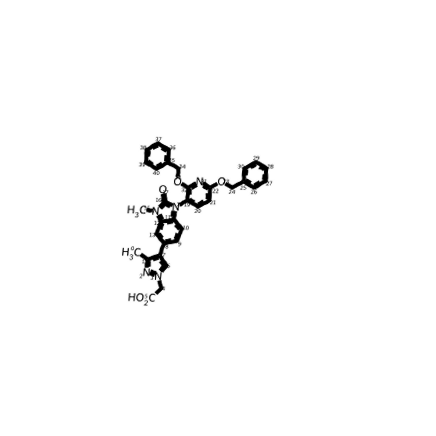 Cc1nn(CC(=O)O)cc1-c1ccc2c(c1)n(C)c(=O)n2-c1ccc(OCc2ccccc2)nc1OCc1ccccc1